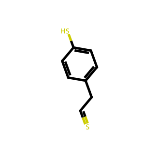 S=CCc1ccc(S)cc1